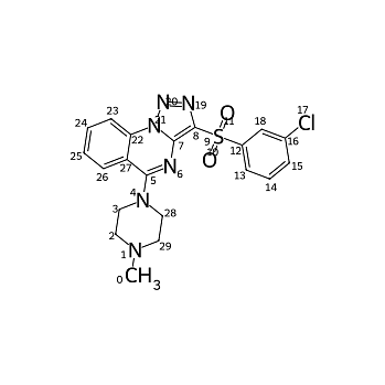 CN1CCN(c2nc3c(S(=O)(=O)c4cccc(Cl)c4)nnn3c3ccccc23)CC1